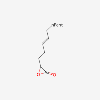 CCCCCCC=CCCC1OC1=O